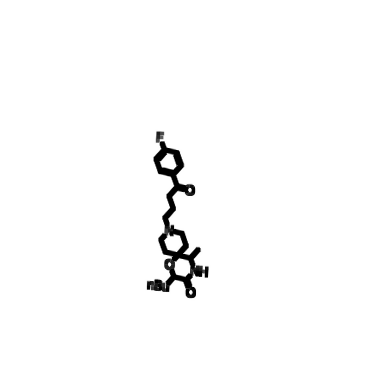 CCCCC1OC2(CCN(CCCC(=O)c3ccc(F)cc3)CC2)C(C)NC1=O